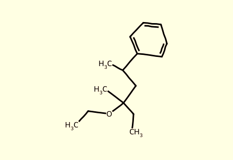 CCOC(C)(CC)CC(C)c1ccccc1